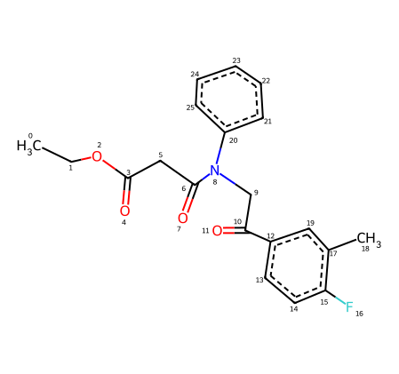 CCOC(=O)CC(=O)N(CC(=O)c1ccc(F)c(C)c1)c1ccccc1